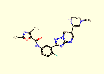 C=N/C=C(\N=C/C)c1cnc2nc(-c3cc(NC(=O)c4oc(C)nc4C)ccc3F)nn2c1